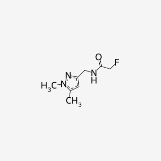 Cc1cc(CNC(=O)CF)nn1C